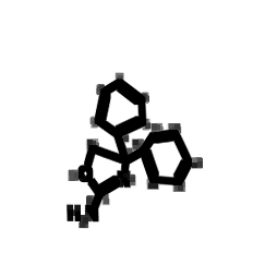 NC1=NC(c2ccccc2)(c2ccccc2)CO1